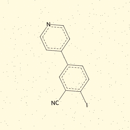 N#Cc1cc(-c2ccncc2)ccc1I